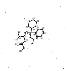 [CH2]CCC(OC(OC(=O)CC)C(C)C)(c1ccccc1)C1CCCCC1